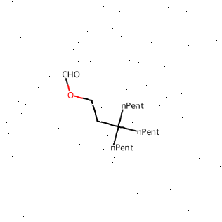 CCCCCC(CCCCC)(CCCCC)CCOC=O